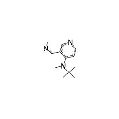 C/N=C\c1cnccc1N(C)C(C)(C)C